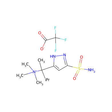 CC(C)C(C)(c1cc(S(N)(=O)=O)n[nH]1)[N+](C)(C)C.O=C([O-])C(F)(F)F